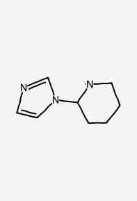 c1cn(C2CCCC[N]2)cn1